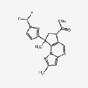 COC(=O)C1CC(C)(c2ccn(C(F)F)n2)c2c1cnc1cc(C)nn21